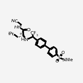 CNS(=O)(=O)c1ccc(-c2ccc(C(N[C@H](CC(C)C)C(=O)NCC#N)C(F)(F)F)cc2)cc1